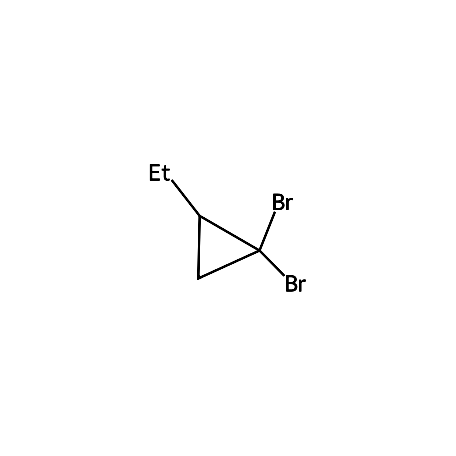 CCC1CC1(Br)Br